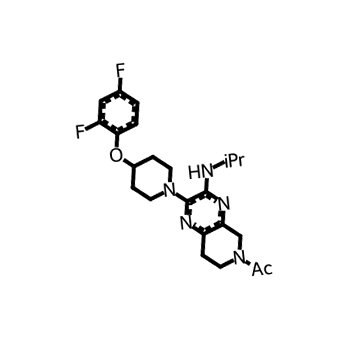 CC(=O)N1CCc2nc(N3CCC(Oc4ccc(F)cc4F)CC3)c(NC(C)C)nc2C1